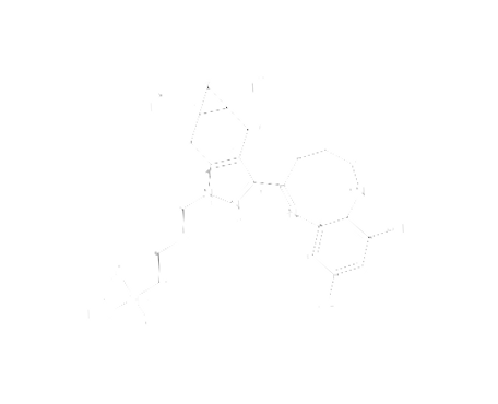 Cc1cc(Br)cc2c1NCCC/C(c1nn(COCC[Si](C)(C)C)c3c1C[C@@H]1C[C@]1(C)C3)=N\2